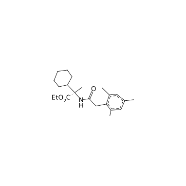 CCOC(=O)[C@](C)(NC(=O)Cc1c(C)cc(C)cc1C)C1CCCCC1